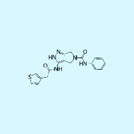 O=C(Cc1ccsc1)Nc1[nH]nc2c1CN(C(=O)Nc1ccccc1)C2